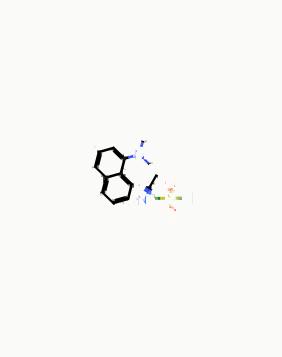 CC#N.CN(C)c1cccc2ccccc12.O=S(=O)(Cl)Cl